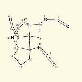 O=C=NC1CC(N=C=O)(C2(N=C=O)CCCC2N=C=O)C1